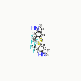 FC(F)(F)c1cc2c(cc1SSc1cc3c(cc1C(F)(F)F)NCC3)CCN2